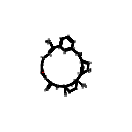 C/C1=N\OC2CN(C2)C(=O)O[C@@H]2CC[C@@](C)(C2)c2cc(n[nH]2)Nc2cccc1n2